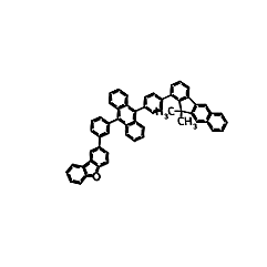 CC1(C)c2cc3ccccc3cc2-c2cccc(-c3ccc(-c4c5ccccc5c(-c5cccc(-c6ccc7oc8ccccc8c7c6)c5)c5ccccc45)cc3)c21